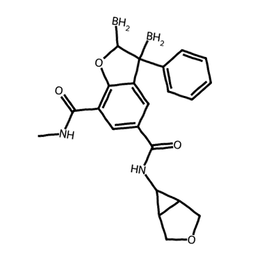 BC1Oc2c(C(=O)NC)cc(C(=O)NC3C4COCC43)cc2C1(B)c1ccccc1